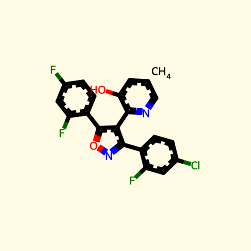 C.Oc1cccnc1-c1c(-c2ccc(Cl)cc2F)noc1-c1ccc(F)cc1F